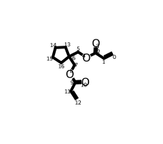 C=CC(=O)OCC1(COC(=O)C=C)CCCC1